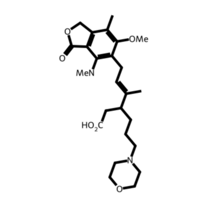 CNc1c(C/C=C(\C)C(CCCN2CCOCC2)CC(=O)O)c(OC)c(C)c2c1C(=O)OC2